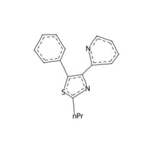 CCCc1nc(-c2ccccn2)c(-c2ccccc2)s1